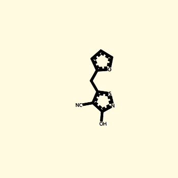 N#Cc1c(O)nsc1Cc1ccco1